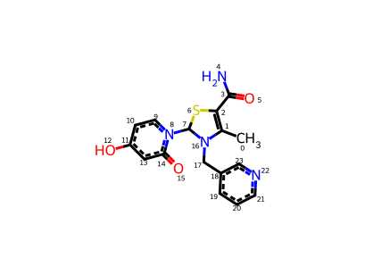 CC1=C(C(N)=O)SC(n2ccc(O)cc2=O)N1Cc1cccnc1